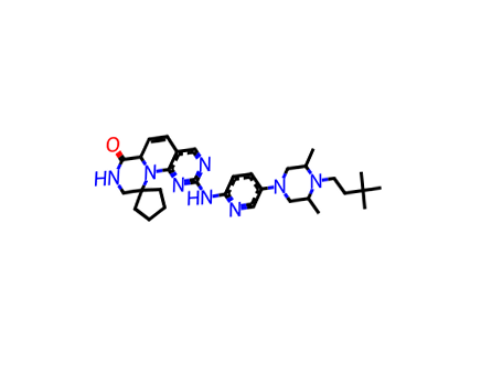 CC1CN(c2ccc(Nc3ncc4c(n3)N3C(C=C4)C(=O)NCC34CCCC4)nc2)CC(C)N1CCC(C)(C)C